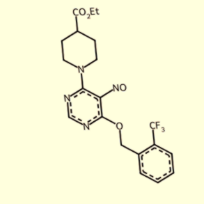 CCOC(=O)C1CCN(c2ncnc(OCc3ccccc3C(F)(F)F)c2N=O)CC1